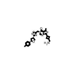 Cc1ccc([C@H]2C[C@H](c3noc(Cn4cnn5c(C6CC(CN)C6)nc(C)c5c4=O)n3)CO2)cc1